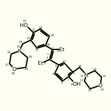 CC/C(=C(/CC)c1ccc(O)c(CN2CCOCC2)c1)c1ccc(O)c(CN2CCOCC2)c1